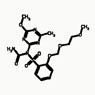 COCCOCOc1ccccc1S(=O)(=O)N(C(N)=O)c1nc(C)nc(OC)n1